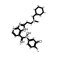 CN(CCc1nc2nccc(C(=N)N(O)c3ccc(F)c(Cl)c3)c2[nH]1)CC1CCCCC1